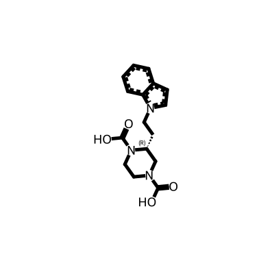 O=C(O)N1CCN(C(=O)O)[C@H](CCn2ccc3ccccc32)C1